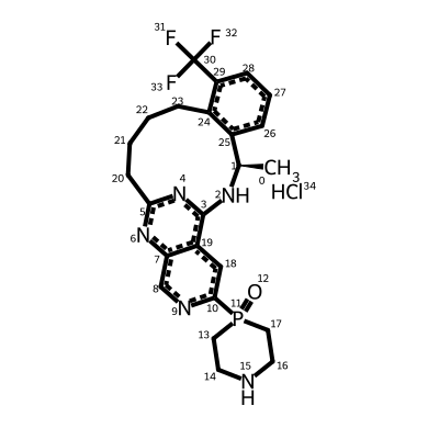 C[C@H]1Nc2nc(nc3cnc(P4(=O)CCNCC4)cc23)CCCCc2c1cccc2C(F)(F)F.Cl